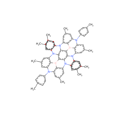 Cc1ccc(N2c3cc(C)cc4c3B3c5c2cc(C)cc5N(c2ccc(C)cc2)c2c3c(c3c5c2N(c2ccc(C)cc2)c2cc(C)cc6c2B5c2c(cc(C)cc2N3c2ccc(C)cc2)N6c2ccc(C)cc2)N4c2ccc(C)cc2)cc1